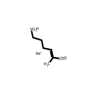 C/C(=C\CCCS(=O)(=O)O)C(=O)[O-].[Na+]